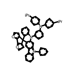 CC(C)c1ccc(N(c2ccc(C(C)C)cc2)c2cccc(N3c4ccccc4C4(c5cc6c7ccccc7n(-c7ccccc7)c6cc53)c3ccoc3-c3occc34)c2)cc1